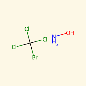 ClC(Cl)(Cl)Br.NO